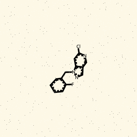 Fc1ccccc1Cn1ncc2cnc(Cl)cc21